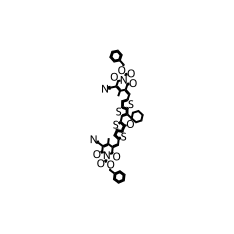 CC1=C(C#N)C(=O)N(C(=O)OCc2ccccc2)C(=O)/C1=C/c1cc2sc3c(c2s1)OC1(CCCCC1)c1c-3sc2cc(/C=C3/C(=O)N(C(=O)OCc4ccccc4)C(=O)C(C#N)=C3C)sc12